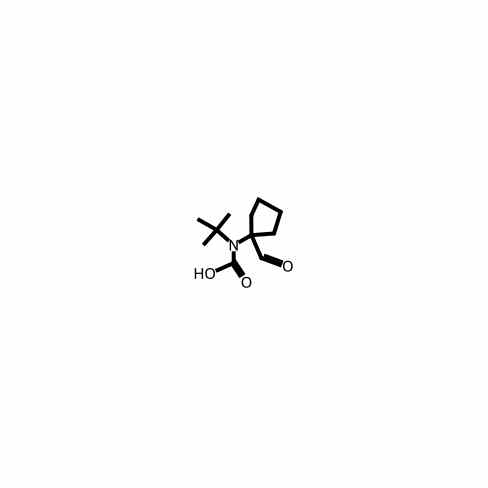 CC(C)(C)N(C(=O)O)C1(C=O)CCCC1